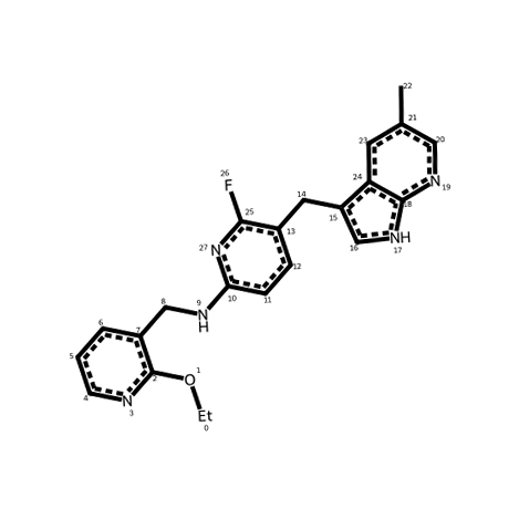 CCOc1ncccc1CNc1ccc(Cc2c[nH]c3ncc(C)cc23)c(F)n1